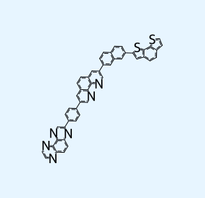 c1cnc2c(ccc3nc(-c4ccc(-c5cnc6c(ccc7cc(-c8ccc9ccc(-c%10cc%11ccc%12ccsc%12c%11s%10)cc9c8)cnc76)c5)cc4)cnc32)n1